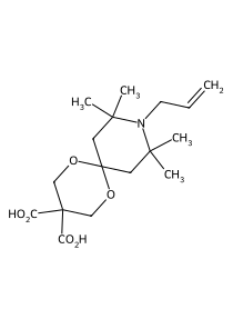 C=CCN1C(C)(C)CC2(CC1(C)C)OCC(C(=O)O)(C(=O)O)CO2